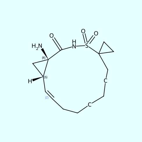 N[C@]12C[C@H]1/C=C\CCCCCCC1(CC1)S(=O)(=O)NC2=O